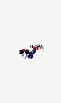 CC(C)(C)OC(=O)N1CC(Cn2nc(-c3ccc(Oc4ccccc4)cc3F)c3c(N)ncnc32)C1